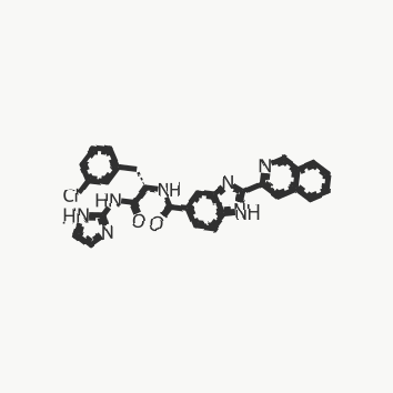 O=C(N[C@@H](Cc1cccc(Cl)c1)C(=O)Nc1ncc[nH]1)c1ccc2[nH]c(-c3cc4ccccc4cn3)nc2c1